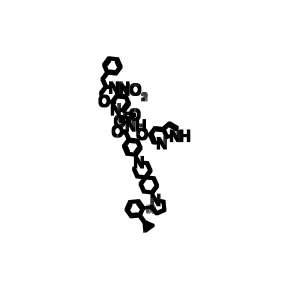 O=C(NS(=O)(=O)c1cc([N+](=O)[O-])c2c(n1)OCC(Cc1ccccc1)N2)c1ccc(N2CCC3(CCC(N4CCC[C@H]4c4ccccc4C4CC4)CC3)CC2)cc1Oc1cnc2[nH]ccc2c1